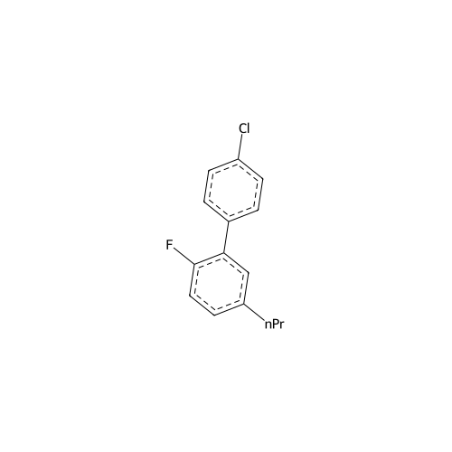 [CH2]CCc1ccc(F)c(-c2ccc(Cl)cc2)c1